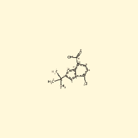 CC(C)(C)c1nc2c(Cl)ccc(C(=O)Cl)c2o1